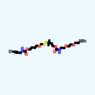 CNCCOCCOCCNC(=O)OCCC(C)(C)SSCOCCCCOC(=O)NCC#CC(C)C